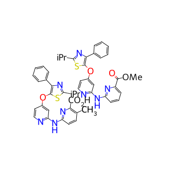 COC(=O)c1cccc(Nc2cc(Oc3sc(C(C)C)nc3-c3ccccc3)ccn2)n1.Cc1ccc(Nc2cc(Oc3sc(C(C)C)nc3-c3ccccc3)ccn2)nc1C(=O)O